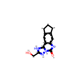 O=c1nc2cc3c(cc2c2[nH]c(CO)nn12)CCC3